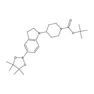 CC(C)(C)OC(=O)N1CCC(N2CCc3cc(B4OC(C)(C)C(C)(C)O4)ccc32)CC1